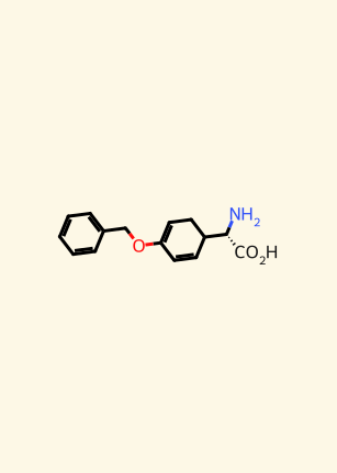 N[C@H](C(=O)O)C1C=CC(OCc2ccccc2)=CC1